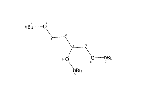 CCCCOCCC(COCCCC)OCCCC